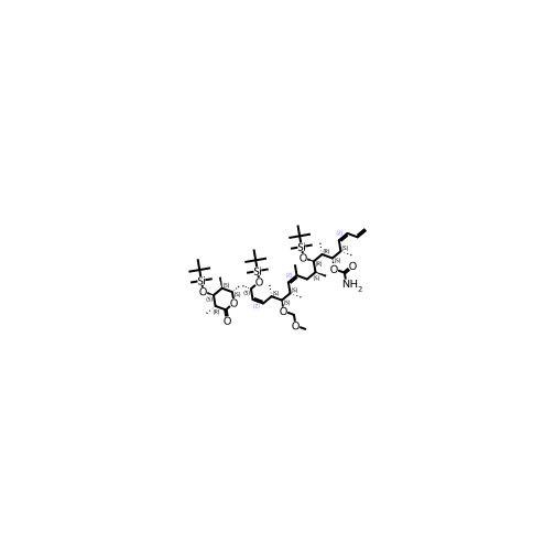 C=C/C=C\[C@H](C)[C@H](OC(N)=O)[C@@H](C)[C@H](O[Si](C)(C)C(C)(C)C)[C@@H](C)C/C(C)=C\[C@H](C)[C@@H](OCOC)[C@@H](C)/C=C\[C@H](C[C@@H]1OC(=O)[C@H](C)[C@@H](O[Si](C)(C)C(C)(C)C)[C@H]1C)O[Si](C)(C)C(C)(C)C